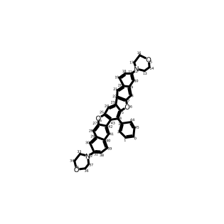 c1ccc(-c2c3oc4cc5cc(N6CCOCC6)ccc5cc4c3cc3oc4cc5cc(N6CCOCC6)ccc5cc4c23)cc1